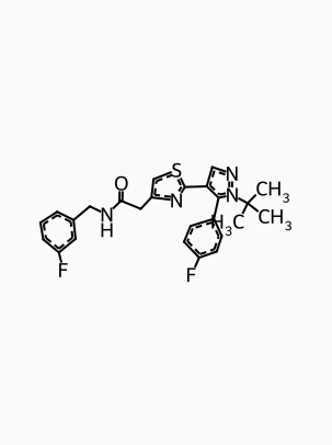 CC(C)(C)n1ncc(-c2nc(CC(=O)NCc3cccc(F)c3)cs2)c1-c1ccc(F)cc1